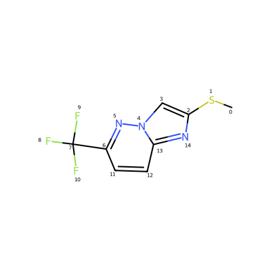 CSc1cn2nc(C(F)(F)F)ccc2n1